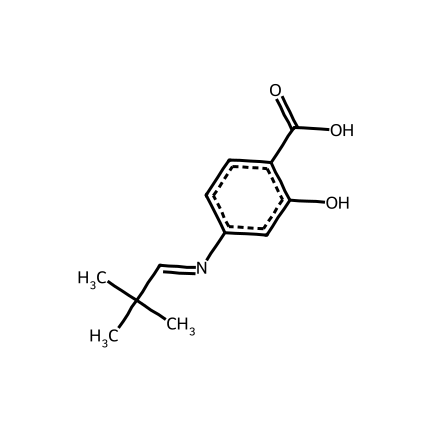 CC(C)(C)C=Nc1ccc(C(=O)O)c(O)c1